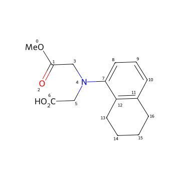 COC(=O)CN(CC(=O)O)c1cccc2c1CCCC2